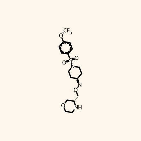 O=S(=O)(c1ccc(OC(F)(F)F)cc1)N1CCC(=NOC[C@H]2COCCN2)CC1